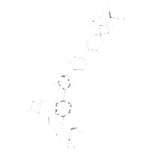 C[C@H]1CCc2c(ccc(-c3cnn(C4CCN(C5CCC6(CC5)CN(C(=O)O)C6C(C)(C)C)CC4)c3)c2OC2CCC2)N1C(=O)C1CC1